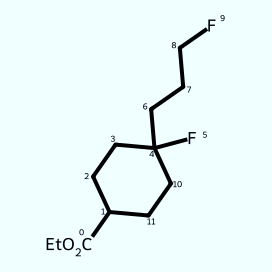 CCOC(=O)C1CCC(F)(CCCF)CC1